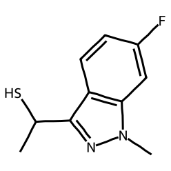 CC(S)c1nn(C)c2cc(F)ccc12